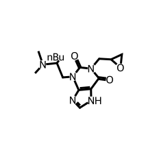 CCCCC(Cn1c(=O)n(CC2CO2)c(=O)c2[nH]cnc21)N(C)C